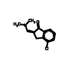 CN(C)/C=C1/Cc2c(Cl)cccc2C1=O